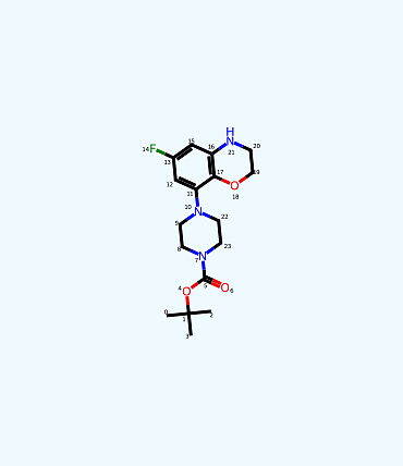 CC(C)(C)OC(=O)N1CCN(c2cc(F)cc3c2OCCN3)CC1